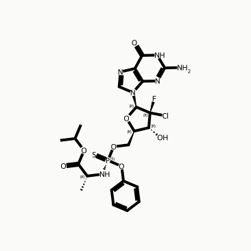 CC(C)OC(=O)[C@@H](C)N[P@](=S)(OC[C@H]1O[C@@H](n2cnc3c(=O)[nH]c(N)nc32)[C@](F)(Cl)[C@@H]1O)Oc1ccccc1